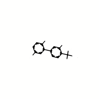 Cc1ccc(F)c(-c2[c]cc(C(C)(C)C)c(Cl)c2)c1